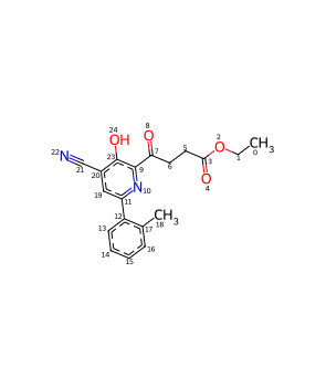 CCOC(=O)CCC(=O)c1nc(-c2ccccc2C)cc(C#N)c1O